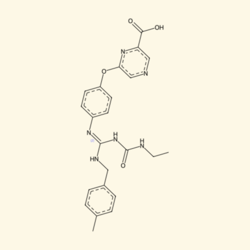 CCNC(=O)N/C(=N\c1ccc(Oc2cncc(C(=O)O)n2)cc1)NCc1ccc(C)cc1